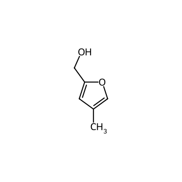 Cc1coc(CO)c1